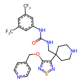 O=C(NCC1(c2nsnc2OCc2ccncc2)CCNCC1)Nc1cc(C(F)(F)F)cc(C(F)(F)F)c1